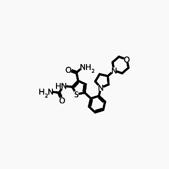 NC(=O)Nc1sc(-c2ccccc2N2CCC(N3CCOCC3)C2)cc1C(N)=O